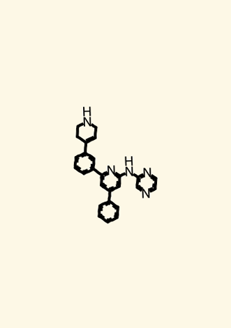 C1=C(c2cccc(-c3cc(-c4ccccc4)cc(Nc4cnccn4)n3)c2)CCNC1